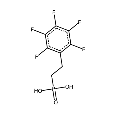 O=P(O)(O)CCc1c(F)c(F)c(F)c(F)c1F